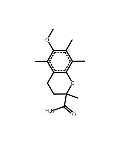 COc1c(C)c(C)c2c(c1C)CCC(C)(C(N)=O)O2